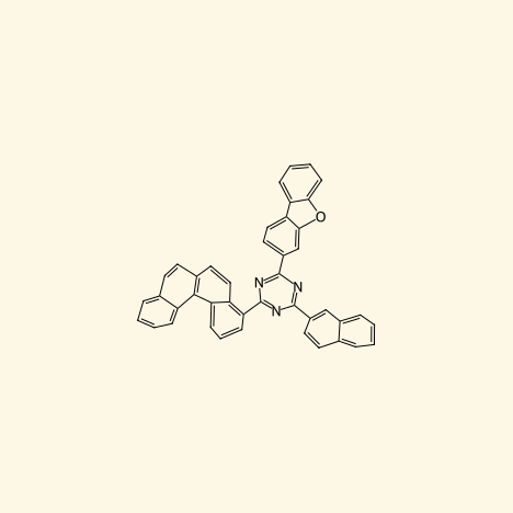 c1ccc2cc(-c3nc(-c4ccc5c(c4)oc4ccccc45)nc(-c4cccc5c4ccc4ccc6ccccc6c45)n3)ccc2c1